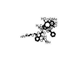 CCCOCCOCC(=O)O[C@@H](C(=O)O[C@H]1C[C@@]2(O)[C@@H](OC(=O)c3ccccc3)[C@@H]3[C@]4(OC(C)=O)CO[C@@H]4CC(OC)[C@@]3(C)C(=O)[C@H](CO)C(=C1C)C2(C)C)[C@@H](NC(=O)OC(C)(C)C)c1ccccc1